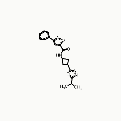 CC(C)c1nnc(C2CC(NC(=O)c3cc(-c4ccccc4)no3)C2)o1